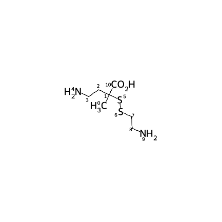 CC(CCN)(SSCCN)C(=O)O